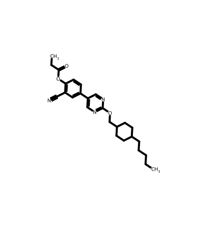 CCCCCC1CCC(COc2ncc(-c3ccc(OC(=O)CC)c(C#N)c3)cn2)CC1